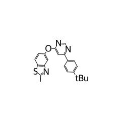 Cc1nc2cc(Oc3cc(-c4ccc(C(C)(C)C)cc4)ncn3)ccc2s1